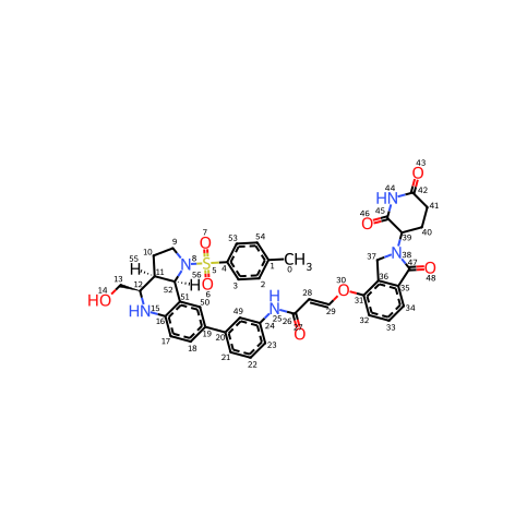 Cc1ccc(S(=O)(=O)N2CC[C@@H]3[C@H](CO)Nc4ccc(-c5cccc(NC(=O)C=COc6cccc7c6CN(C6CCC(=O)NC6=O)C7=O)c5)cc4[C@@H]32)cc1